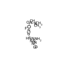 CN(C)CCN(C)C(=O)c1ccc(N2CCN(CCNc3nc(N)n4nc(-c5ccco5)nc4n3)CC2)c(F)c1